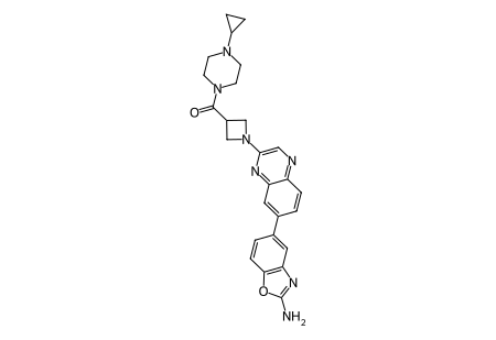 Nc1nc2cc(-c3ccc4ncc(N5CC(C(=O)N6CCN(C7CC7)CC6)C5)nc4c3)ccc2o1